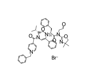 CC(C)[C@@H]1C(=O)N([C@@H](Cc2ccccc2)C(=O)N(CC=O)C2=NC(C)(C)CO2)C(c2ccccc2)=CN1C(=O)c1cc[n+](Cc2ccccc2)cc1.[Br-]